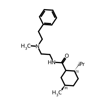 CC(C)[C@@H]1CC[C@@H](C)CC1C(=O)NCCN(C)CCc1ccccc1